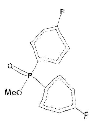 COP(=O)(c1ccc(F)cc1)c1ccc(F)cc1